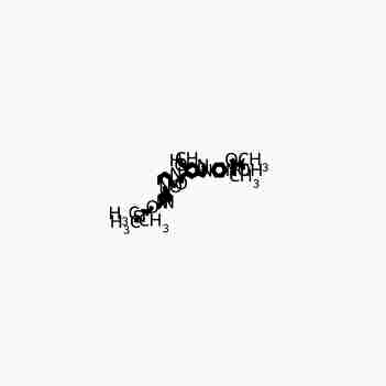 COc1cc2nn([C@H]3CC[C@H](N(C)C(=O)[C@@H](C)O)CC3)cc2cc1C(=O)Nc1cccn(-c2cnn(COCC[Si](C)(C)C)c2)c1=O